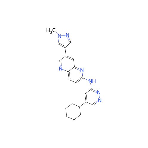 Cn1cc(-c2cnc3ccc(Nc4cc(C5CCCCC5)cnn4)nc3c2)cn1